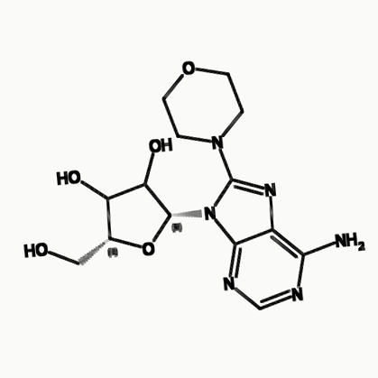 Nc1ncnc2c1nc(N1CCOCC1)n2[C@@H]1O[C@H](CO)C(O)C1O